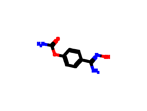 NC(=O)Oc1ccc(C(N)=NO)cc1